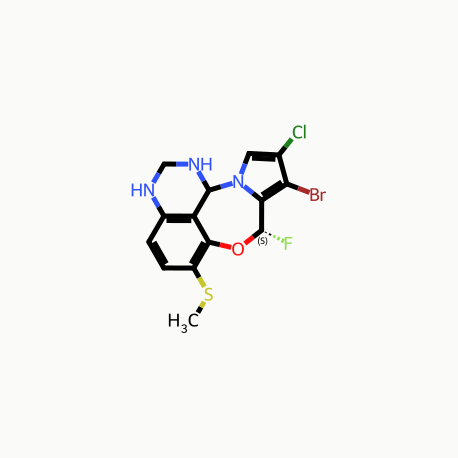 CSc1ccc2c3c1O[C@@H](F)c1c(Br)c(Cl)cn1C3NCN2